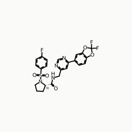 O=C(NCc1cc(-c2ccc3c(c2)OC(F)(F)O3)ncn1)[C@@H]1CCCN1S(=O)(=O)c1ccc(F)cc1